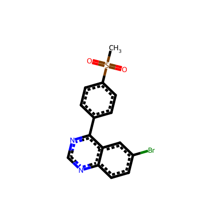 CS(=O)(=O)c1ccc(-c2ncnc3ccc(Br)cc23)cc1